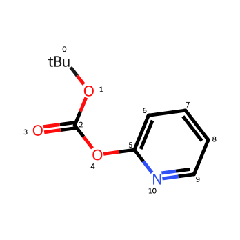 CC(C)(C)OC(=O)Oc1ccccn1